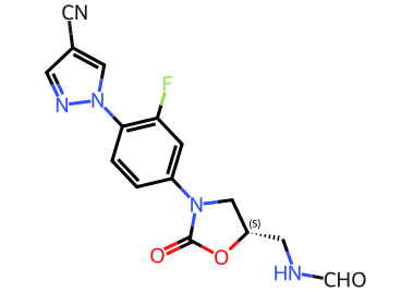 N#Cc1cnn(-c2ccc(N3C[C@H](CNC=O)OC3=O)cc2F)c1